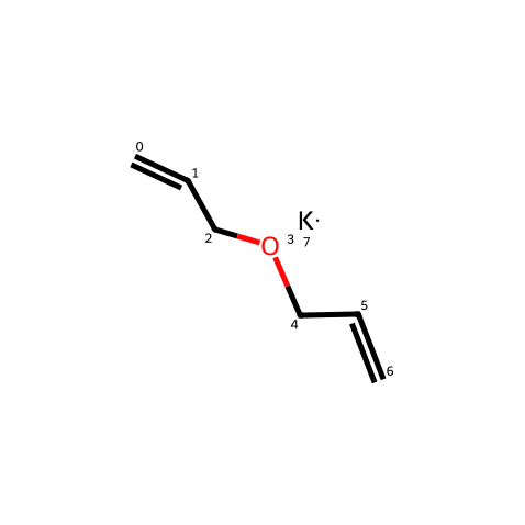 C=CCOCC=C.[K]